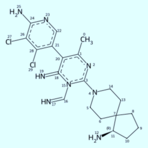 Cc1nc(N2CCC3(CCC[C@H]3N)CC2)n(C=N)c(=N)c1-c1cnc(N)c(Cl)c1Cl